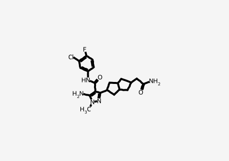 Cn1nc(C2CC3CC(CC(N)=O)CC3C2)c(C(=O)Nc2ccc(F)c(Cl)c2)c1N